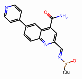 CC(C)(C)[S+]([O-])N=Cc1cc(C(N)=O)c2cc(-c3ccncc3)ccc2n1